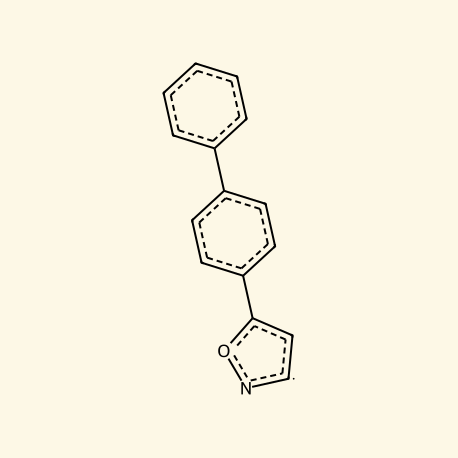 [c]1cc(-c2ccc(-c3ccccc3)cc2)on1